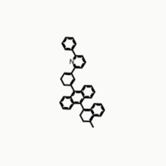 CC1=c2ccccc2=C(c2c3ccccc3c(C3=CC(c4cccc(-c5ccccc5)n4)=CCC3)c3ccccc23)CC1